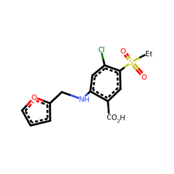 CCS(=O)(=O)c1cc(C(=O)O)c(NCc2ccco2)cc1Cl